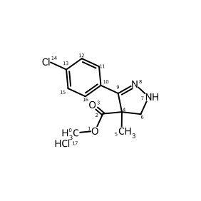 COC(=O)C1(C)CNN=C1c1ccc(Cl)cc1.Cl